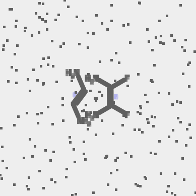 N/C(F)=C(\N)F.N/C=C/N